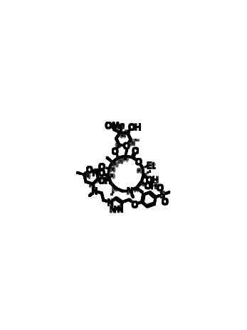 CC[C@H]1OC(=O)[C@H](C)[C@@H](O[C@H]2C[C@@](C)(OC)[C@@H](O)[C@H](C)O2)[C@H](C)[C@@H](O[C@@H]2O[C@H](C)C[C@H](N(C)CCn3cc(COc4ccc(S(C)(=O)=O)cc4)nn3)[C@H]2O)[C@](C)(O)C[C@@H](C)CN(C)[C@H](C)[C@@H](O)[C@]1(C)O